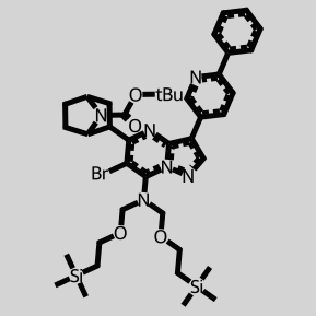 CC(C)(C)OC(=O)N1C2CCC1C(c1nc3c(-c4ccc(-c5ccccc5)nc4)cnn3c(N(COCC[Si](C)(C)C)COCC[Si](C)(C)C)c1Br)C2